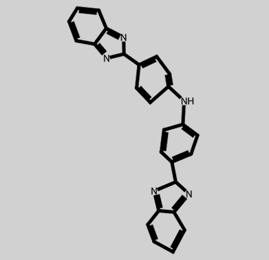 c1ccc2c(c1)=NC(c1ccc(Nc3ccc(C4N=c5ccccc5=N4)cc3)cc1)N=2